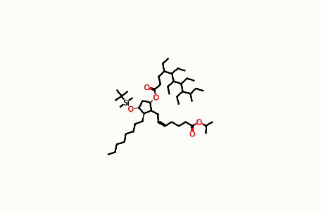 CCCCCCCC[C@@H]1C(C/C=C\CCCC(=O)OC(C)C)[C@@H](OC(=O)CCC(CC)C(CC)C(CC)C(CC)C(CC)C(C)CC)C[C@H]1O[Si](C)(C)C(C)(C)C